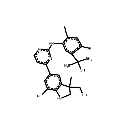 BC(B)(O)c1cc(Nc2nccc(-c3cc(C#N)c4c(c3)C(C)(CO)CN4)n2)c(C)cc1F